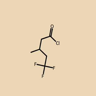 CC(CC(=O)Cl)CC(F)(F)F